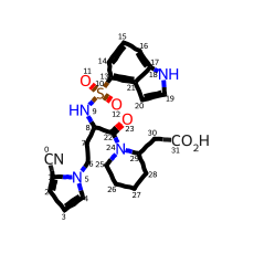 N#Cc1cccn1CCC(NS(=O)(=O)c1cccc2[nH]ccc12)C(=O)N1CCCCC1CC(=O)O